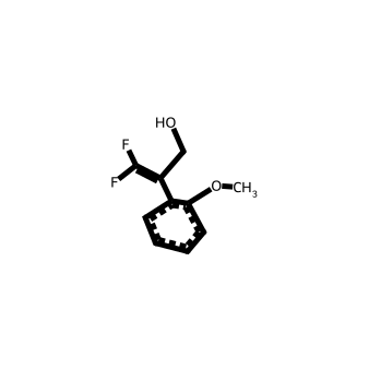 COc1ccccc1C(CO)=C(F)F